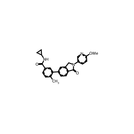 COc1ccc(N2Cc3cc(-c4cc(C(=O)NC5CC5)ccc4C)ccc3C2=O)cn1